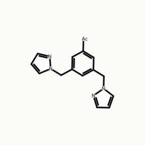 CC(=O)c1cc(Cn2cccn2)cc(Cn2cccn2)c1